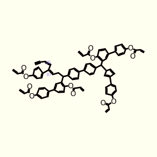 C#C/C=C\C(=C/CC(c1ccc(-c2ccc(C(c3cc(-c4ccc(OC(=O)C=C)cc4)ccc3OC(=O)C=C)C3C=CC(c4ccc(OC(=O)C=C)cc4)=C3)cc2)cc1)c1cc(-c2ccc(OC(=O)C=C)cc2)ccc1OC(=O)C=C)c1ccc(OC(=O)C=C)cc1